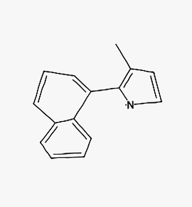 CC1=C(c2cccc3ccccc23)[N]C=C1